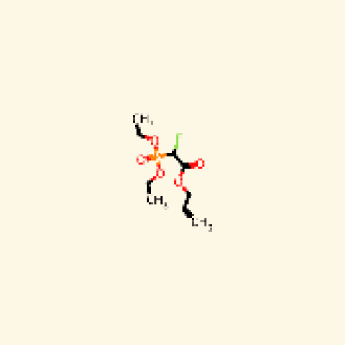 C=CCOC(=O)C(F)P(=O)(OCC)OCC